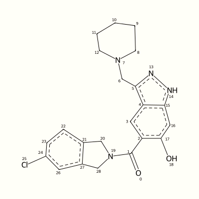 O=C(c1cc2c(CN3CCCCC3)n[nH]c2cc1O)N1Cc2ccc(Cl)cc2C1